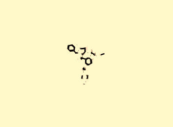 CCOC(=O)[C@H](C)Nc1ccc(OC(=O)N2CCN(C)CC2)cc1C(=O)[C@@H]1CCC(=O)N1Cc1ccccc1